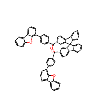 O=C(c1ccc(-c2cccc3c2oc2ccccc23)cc1)c1ccc2c(c1)C1(c3ccccc3-2)c2ccccc2-c2ccc(C(=O)c3ccc(-c4cccc5c4oc4ccccc45)cc3)cc21